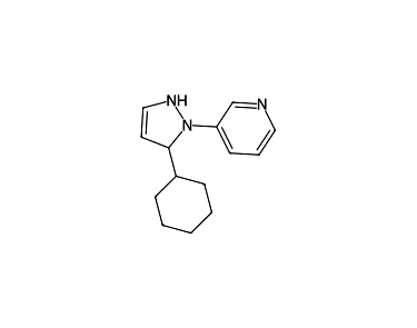 C1=CC(C2CCCCC2)N(c2cccnc2)N1